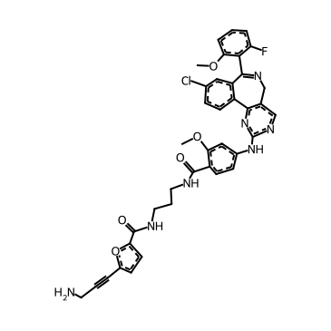 COc1cc(Nc2ncc3c(n2)-c2ccc(Cl)cc2C(c2c(F)cccc2OC)=NC3)ccc1C(=O)NCCCNC(=O)c1ccc(C#CCN)o1